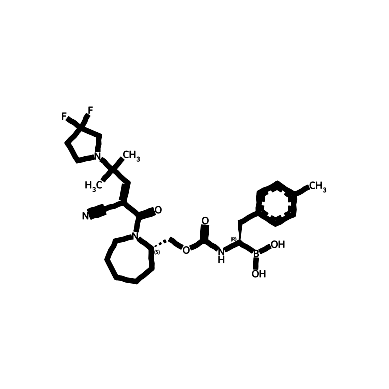 Cc1ccc(C[C@H](NC(=O)OC[C@@H]2CCCCCN2C(=O)C(C#N)=CC(C)(C)N2CCC(F)(F)C2)B(O)O)cc1